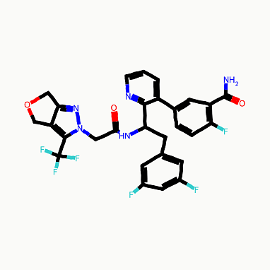 NC(=O)c1cc(-c2cccnc2C(Cc2cc(F)cc(F)c2)NC(=O)Cn2nc3c(c2C(F)(F)F)COC3)ccc1F